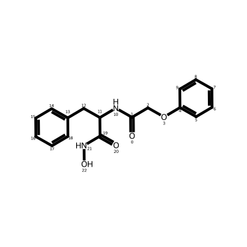 O=C(COc1ccccc1)NC(Cc1ccccc1)C(=O)NO